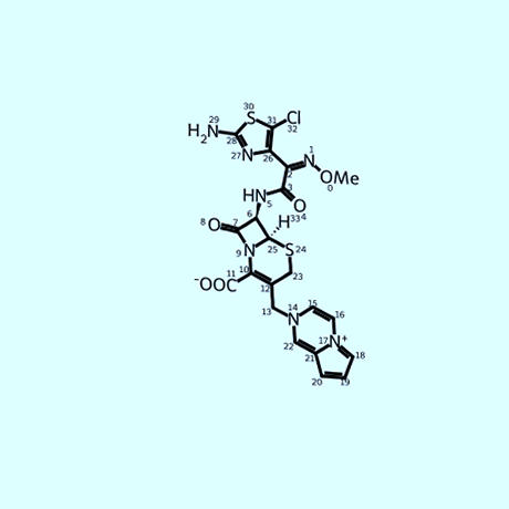 CO/N=C(\C(=O)N[C@@H]1C(=O)N2C(C(=O)[O-])=C(Cn3cc[n+]4cccc-4c3)CS[C@H]12)c1nc(N)sc1Cl